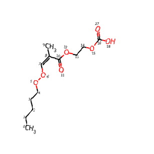 CCCCCOOC=C(C)C(=O)OCCOC(=O)O